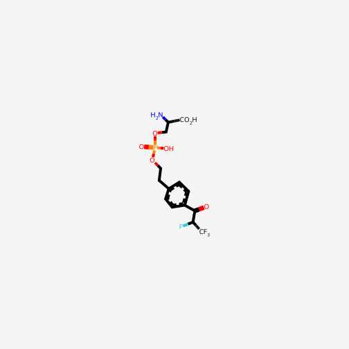 NC(COP(=O)(O)OCCc1ccc(C(=O)C(F)C(F)(F)F)cc1)C(=O)O